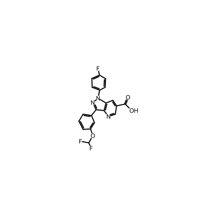 O=C(O)c1cnc2c(-c3cccc(OC(F)F)c3)nn(-c3ccc(F)cc3)c2c1